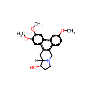 COc1ccc2c3c(c4cc(OC)c(OC)cc4c2c1)C[C@H]1[C@H](O)CCN1C3